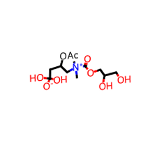 CC(=O)OC(CC([O-])(O)O)C[N+](C)(C)C(=O)OCC(O)CO